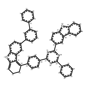 C1=c2oc3ccc(-c4cccc(-c5ccccc5)c4)cc3c2=C(c2ccc(-c3nc(-c4ccccc4)nc(-c4ccc5oc6ccccc6c5c4)n3)cc2)CC1